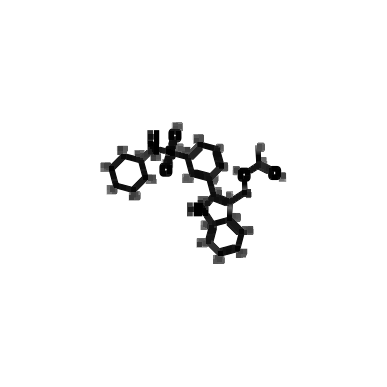 CC(=O)OCc1c(-c2cccc(S(=O)(=O)NC3CCCCC3)c2)[nH]c2ccccc12